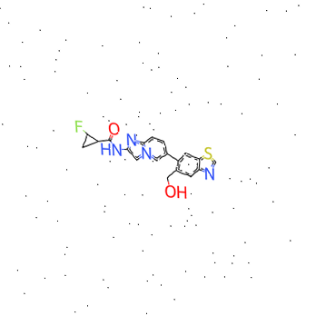 O=C(Nc1cn2cc(-c3cc4scnc4cc3CO)ccc2n1)C1CC1F